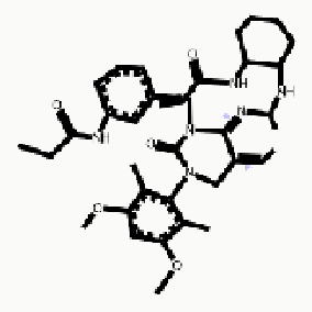 C=CC(=O)NC1CCCCC1NC(C)/N=C1\C(=C/C)CN(c2c(C)c(OC)cc(OC)c2C)C(=O)N1Cc1cccc(NC(=O)CC)c1